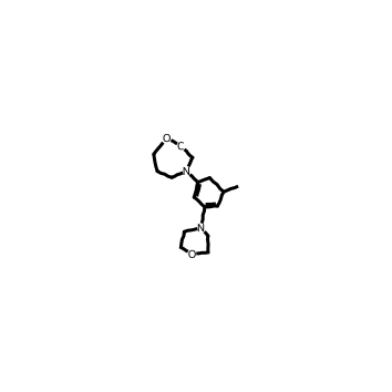 CC1C=C(N2CCOCC2)C=C(N2CCCOCC2)C1